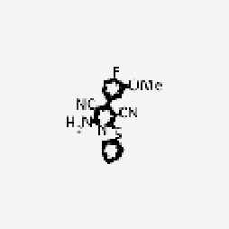 COc1cc(-c2c(C#N)c(N)nc(Sc3ccccc3)c2C#N)ccc1F